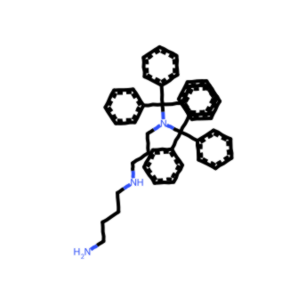 NCCCCNCCCN(C(c1ccccc1)(c1ccccc1)c1ccccc1)C(c1ccccc1)(c1ccccc1)c1ccccc1